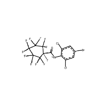 O=C(Nc1c(Cl)cc(Br)cc1Cl)C1(F)C(F)(F)C(F)(F)C(F)(F)C(F)(F)C1(F)F